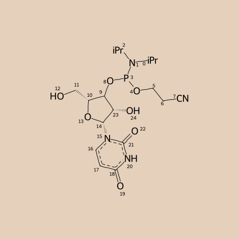 CC(C)N(C(C)C)P(OCCC#N)OC1[C@@H](CO)O[C@@H](n2ccc(=O)[nH]c2=O)[C@H]1O